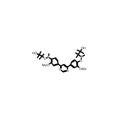 COc1cc(-c2cc(-c3ccc(B(C)OC(C)(C)C(C)(C)O)c(OC)c3)ncn2)ccc1OB(C)C(C)(C)C(C)(C)O